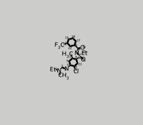 CCN(C)C=Nc1cc(C)c(S(=O)(CC)=NC(=O)c2cccc(C(F)(F)F)c2)cc1Cl